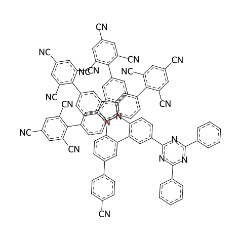 N#Cc1ccc(-c2ccc(-n3c4ccc(-c5c(C#N)cc(C#N)cc5C#N)cc4c4cc(-c5c(C#N)cc(C#N)cc5C#N)ccc43)c(-c3cc(-c4nc(-c5ccccc5)nc(-c5ccccc5)n4)ccc3-n3c4ccc(-c5c(C#N)cc(C#N)cc5C#N)cc4c4cc(-c5c(C#N)cc(C#N)cc5C#N)ccc43)c2)cc1